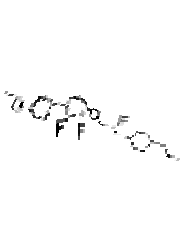 CCCC1CCC(CC(F)COc2ccc(-c3ccc(OCC)cc3)c(F)c2F)CC1